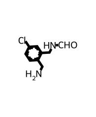 NCc1ccc(Cl)cc1CNC=O